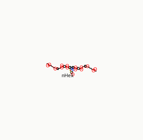 C=CC(=O)OCCCCCCOc1ccc(CCOC(=O)C2CCC(C(=O)Oc3ccc4c(c3)nc(SC3CCC(OCCCCCC)CC3)c3cc(OC(=O)C5CCC(C(=O)OCCc6ccc(OCCCCCCOC(=O)C=C)cc6)CC5)ccc34)CC2)cc1